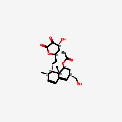 CCC(C)C(=O)O[C@H]1C[C@H](CO)C=C2C=C[C@H](C)[C@H](CC[C@@H]3C[C@@H](O)C(=O)C(=O)O3)[C@H]21